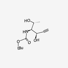 C#C[C@@H](O)[C@@H](NC(=O)OC(C)(C)C)[C@@H](C)O